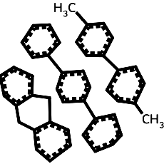 Cc1ccc(-c2ccc(C)cc2)cc1.c1ccc(-c2ccc(-c3ccccc3)cc2)cc1.c1ccc2c(c1)Cc1ccccc1C2